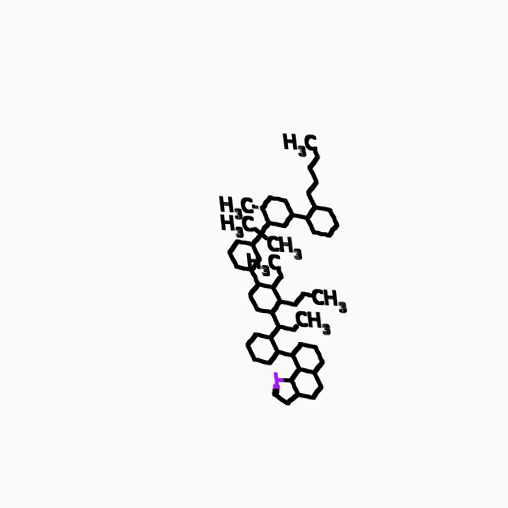 CCCCCC1CCCCC1C1CC[C@@H](C)C(C(C)(C)C2CCCC(C3CCC(C(CC)C4CCCCC4C4CCCC5CCC6CC=IC6C54)C(CCC)C3CC)C2)C1